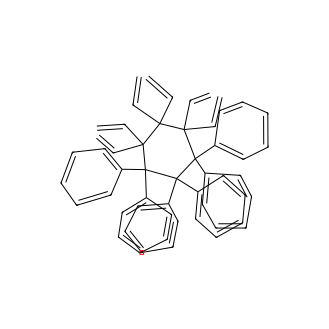 C=CC1(C=C)C(C=C)(C=C)C(c2ccccc2)(c2ccccc2)C(c2ccccc2)(c2ccccc2)C(c2ccccc2)(c2ccccc2)C1(C=C)C=C